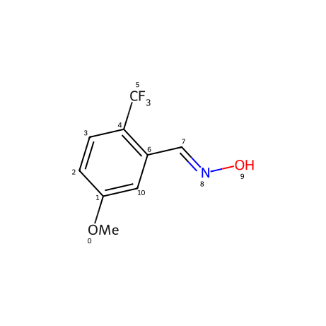 COc1ccc(C(F)(F)F)c(C=NO)c1